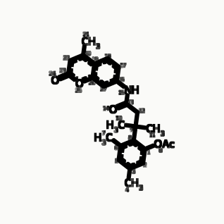 CC(=O)Oc1cc(C)cc(C)c1C(C)(C)CC(=O)Nc1ccc2c(C)cc(=O)oc2c1